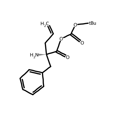 C=CC[C@](N)(Cc1ccccc1)C(=O)OC(=O)OC(C)(C)C